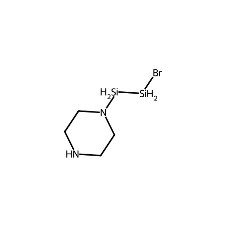 Br[SiH2][SiH2]N1CCNCC1